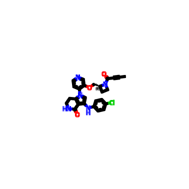 CC#CC(=O)N1CC[C@@H]1COc1cnccc1-n1cc(Nc2ccc(Cl)cc2)c2c1CCNC2=O